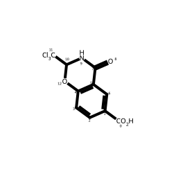 O=C(O)c1ccc2c(c1)C(=O)NC(C(Cl)(Cl)Cl)O2